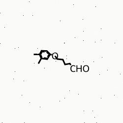 Cc1ccc(OCCCCC=O)cc1C